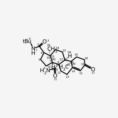 CC(C)(C)NC(=O)C1CC[C@H]2[C@]3(C(N)=O)CCC4=CC(=O)CC[C@]4(C)[C@@H]3CC[C@]12C